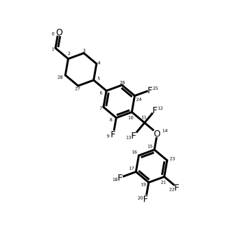 O=CC1CCC(c2cc(F)c(C(F)(F)Oc3cc(F)c(F)c(F)c3)c(F)c2)CC1